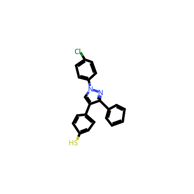 Sc1ccc(-c2cn(-c3ccc(Cl)cc3)nc2-c2ccccc2)cc1